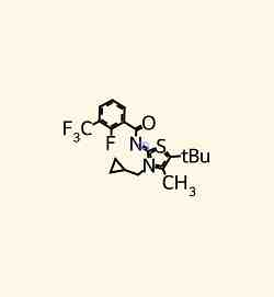 Cc1c(C(C)(C)C)s/c(=N\C(=O)c2cccc(C(F)(F)F)c2F)n1CC1CC1